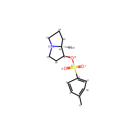 Cc1ccc(S(=O)(=O)O[C@H]2CCN3CCC[C@@H]23)cc1